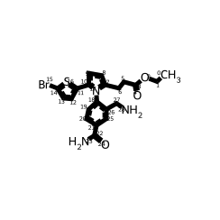 CCOC(=O)CCc1ccc(-c2ccc(Br)s2)n1-c1ccc(C(N)=O)cc1CN